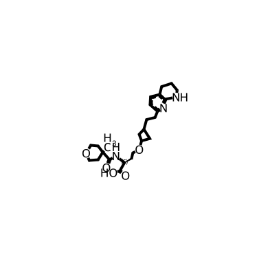 CC1(C(=O)N[C@@H](CCOC2CC(CCc3ccc4c(n3)NCCC4)C2)C(=O)O)CCOCC1